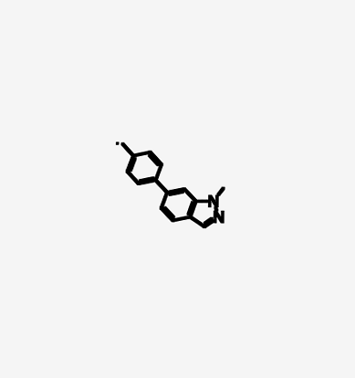 [CH2]c1ccc(-c2ccc3cnn(C)c3c2)cc1